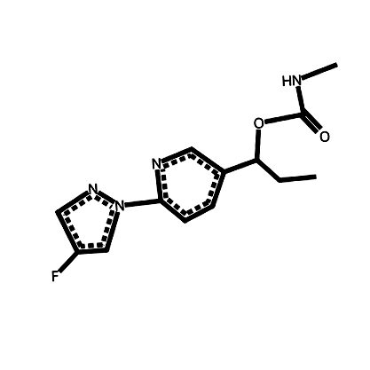 CCC(OC(=O)NC)c1ccc(-n2cc(F)cn2)nc1